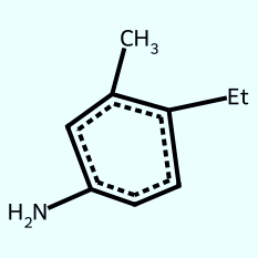 [CH2]Cc1ccc(N)cc1C